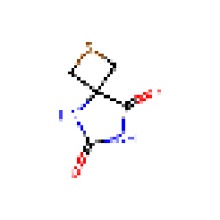 O=C1NC(=O)C2(CSC2)N1